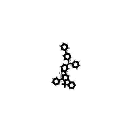 CC1(C)c2ccccc2-c2cc3c(oc4ccc(N(c5ccccc5)c5ccc(-c6ccccc6)cc5)cc43)c(-c3ccccc3)c21